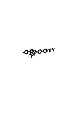 CCCC1CCC(C2CCC(/C=C/c3ccc(C4CCC(C)CC4)c(F)c3C(F)F)CC2)CC1